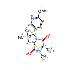 COc1ccc([C@@H]2N3C(=O)[C@]4(C)S[C@@]3(C[C@]2(C)C#N)C(=O)N4C)cn1